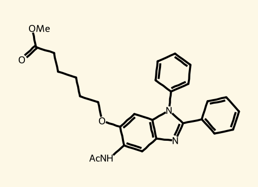 COC(=O)CCCCCOc1cc2c(cc1NC(C)=O)nc(-c1ccccc1)n2-c1ccccc1